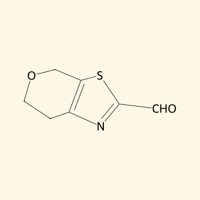 O=Cc1nc2c(s1)COCC2